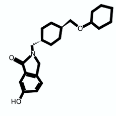 O=C1c2cc(O)ccc2CN1C[C@H]1CC[C@H](COC2CCCCC2)CC1